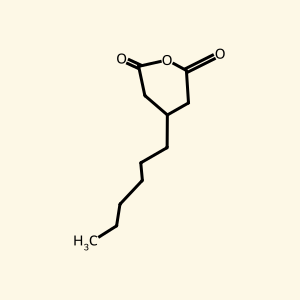 CCCCCCC1CC(=O)OC(=O)C1